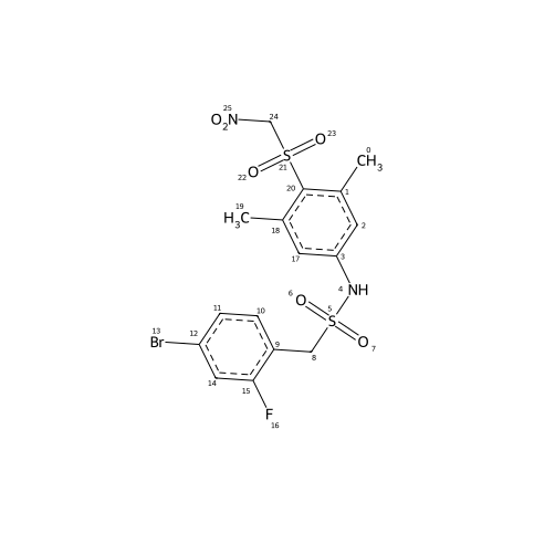 Cc1cc(NS(=O)(=O)Cc2ccc(Br)cc2F)cc(C)c1S(=O)(=O)C[N+](=O)[O-]